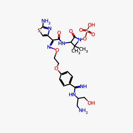 CC1(C)C(NC(=O)C(=NOCCOc2ccc(C(=N)NC(CN)CO)cc2)c2csc(N)n2)C(=O)N1OS(=O)(=O)O